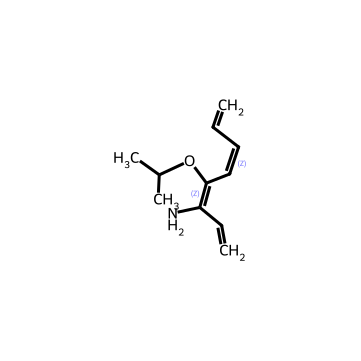 C=C/C=C\C(OC(C)C)=C(\N)C=C